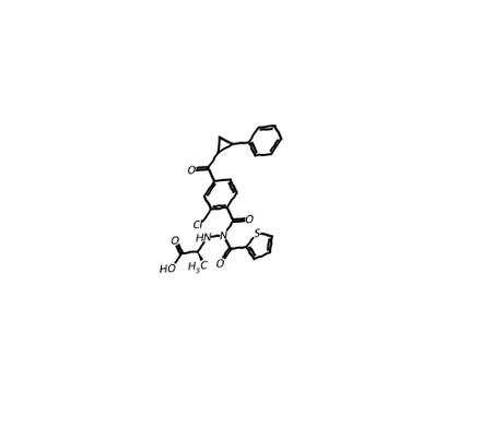 C[C@H](NN(C(=O)c1cccs1)C(=O)c1ccc(C(=O)C2CC2c2ccccc2)cc1Cl)C(=O)O